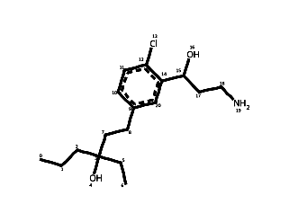 CCCC(O)(CC)CCc1ccc(Cl)c(C(O)CCN)c1